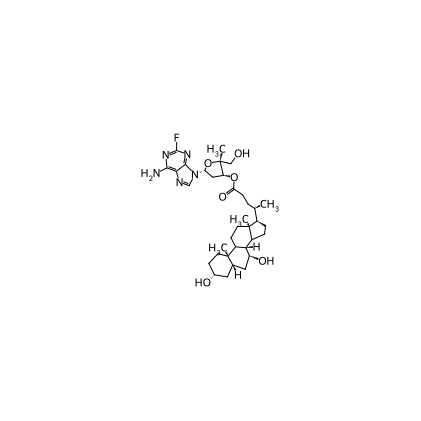 C[C@H](CCC(=O)O[C@H]1C[C@H](n2cnc3c(N)nc(F)nc32)O[C@]1(C)CO)[C@H]1CCC2[C@H]3C(CC[C@@]21C)[C@@]1(C)CC[C@@H](O)C[C@H]1C[C@@H]3O